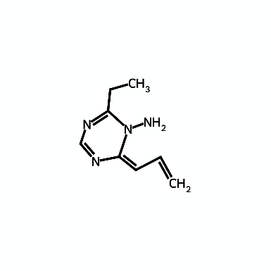 C=C/C=C1/N=CN=C(CC)N1N